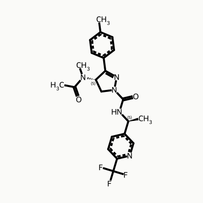 CC(=O)N(C)[C@H]1CN(C(=O)N[C@@H](C)c2ccc(C(F)(F)F)nc2)N=C1c1ccc(C)cc1